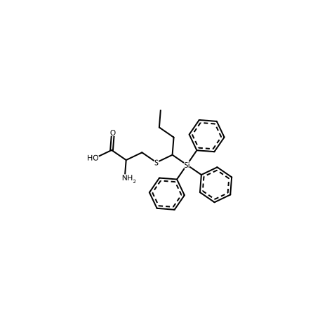 CCCC(SCC(N)C(=O)O)[Si](c1ccccc1)(c1ccccc1)c1ccccc1